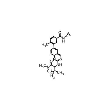 Cc1ccc(C(=O)NC2CC2)cc1-c1ccc2nc(NC(C(=O)N(C)C)C(C)C)ncc2c1